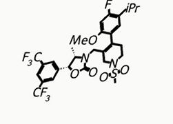 COc1cc(F)c(C(C)C)cc1C1=C(CN2C(=O)O[C@H](c3cc(C(F)(F)F)cc(C(F)(F)F)c3)[C@@H]2C)CN(S(C)(=O)=O)CC1